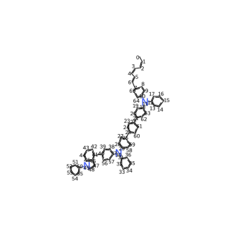 C\C=C/C=C\C=C\c1ccc(N(c2ccccc2)c2ccc(-c3ccc(-c4ccc(N(c5ccccc5)c5ccc(-c6cccc7c6ccn7-c6ccccc6)cc5)cc4)cc3)cc2)cc1